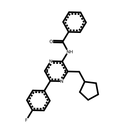 O=C(Nc1ncc(-c2ccc(F)cc2)nc1CC1CCCC1)c1ccccc1